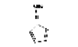 O=[CH][Ni].[CH]1C=CC=C1